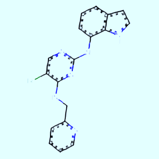 Brc1cnc(Nc2cccc3cc[nH]c23)nc1NCc1ccccn1